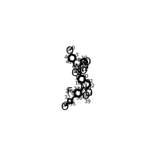 COc1ccc(CN(c2ccon2)S(=O)(=O)c2ccc3c(ccc(=O)n3-c3cc(F)c(C4CC(=O)C4)cc3OC)c2)cc1